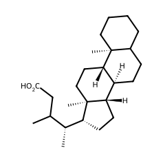 CC(CC(=O)O)[C@@H](C)[C@H]1CC[C@H]2[C@@H]3CCC4CCCC[C@]4(C)[C@H]3CC[C@]12C